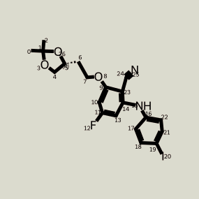 CC1(C)OC[C@@H](CCOc2cc(F)cc(Nc3ccc(I)cc3)c2C#N)O1